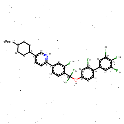 CCCCCC1CCC(c2ccc(-c3ccc(C(F)(F)Oc4ccc(-c5cc(F)c(F)c(F)c5)c(F)c4)c(F)c3)nc2)CC1